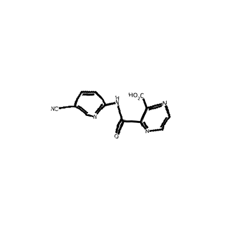 N#Cc1ccc(NC(=O)c2nccnc2C(=O)O)nc1